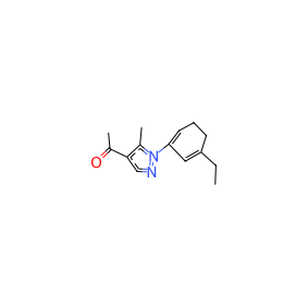 CCC1=CC(n2ncc(C(C)=O)c2C)=CCC1